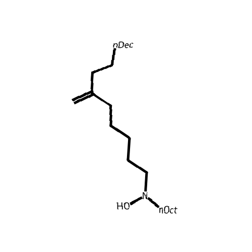 C=C(CCCCCCCCCCCC)CCCCCN(O)CCCCCCCC